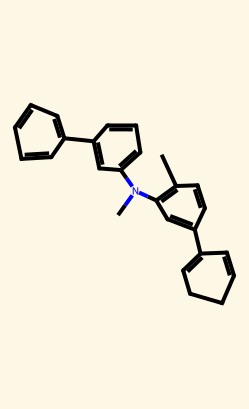 Cc1ccc(C2=CCCC=C2)cc1N(C)c1cccc(-c2ccccc2)c1